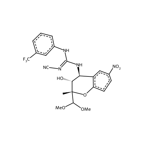 COC(OC)[C@@]1(C)Oc2ccc([N+](=O)[O-])cc2[C@H](NC(=NC#N)Nc2cccc(C(F)(F)F)c2)[C@H]1O